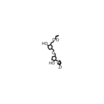 C=CC(=O)OCCC1CC(COCC2CCC(O)C(n3ccc(OC)c3)C2)CCC1O